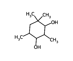 CC1CC(C)(C)C(O)C(C)C1O